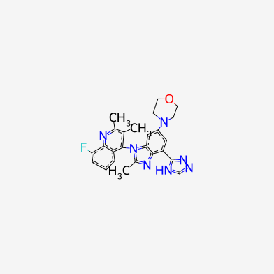 Cc1nc2c(F)cccc2c(-n2c(C)nc3c(-c4nnc[nH]4)cc(N4CCOCC4)cc32)c1C